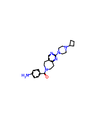 Nc1ccc(C(=O)N2CCc3cnc(N4CCN(C5CCC5)CC4)nc3CC2)cc1